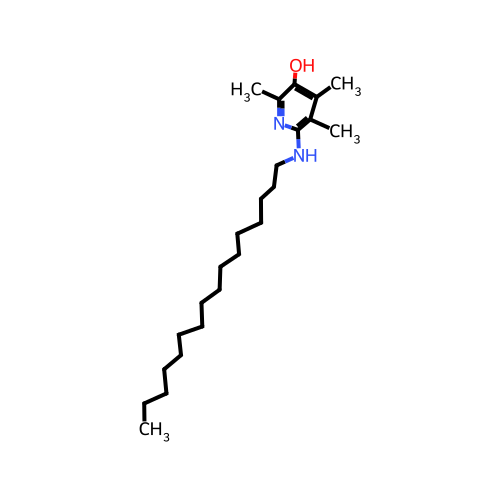 CCCCCCCCCCCCCCCCNc1nc(C)c(O)c(C)c1C